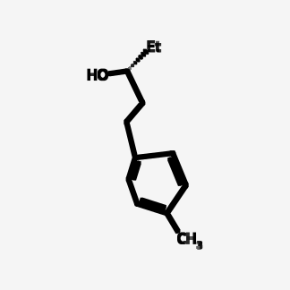 [CH2]C[C@@H](O)CCc1ccc(C)cc1